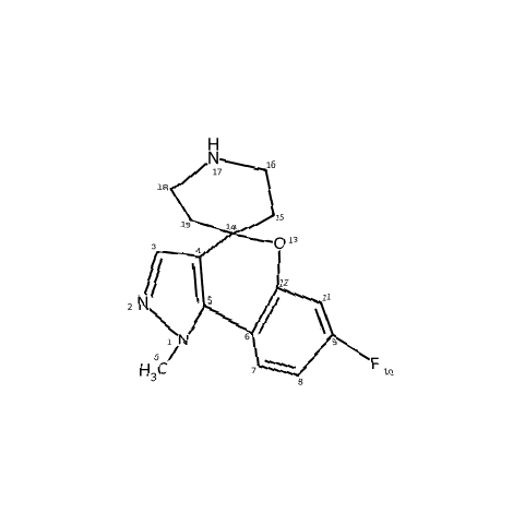 Cn1ncc2c1-c1ccc(F)cc1OC21CCNCC1